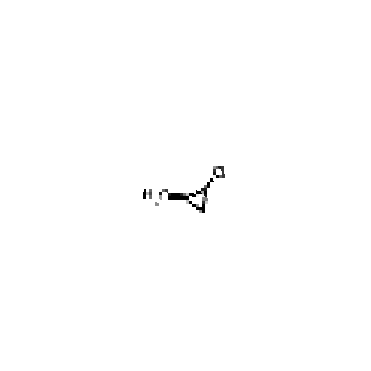 C=C1[CH]C1Cl